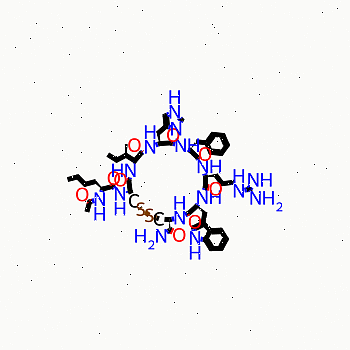 CCCC[C@H](NC(C)=O)C(=O)N[C@H]1CSSC[C@@H](C(N)=O)NC(=O)[C@H](Cc2c[nH]c3ccccc23)NC(=O)[C@H](CCCNC(=N)N)NC(=O)[C@@H](Cc2ccccc2)NC(=O)[C@H](Cc2c[nH]cn2)NC(=O)[C@@H]([C@H](C)CC)NC1=O